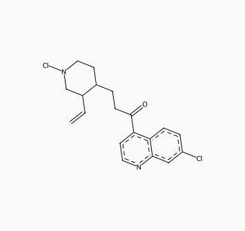 C=CC1CN(Cl)CCC1CCC(=O)c1ccnc2cc(Cl)ccc12